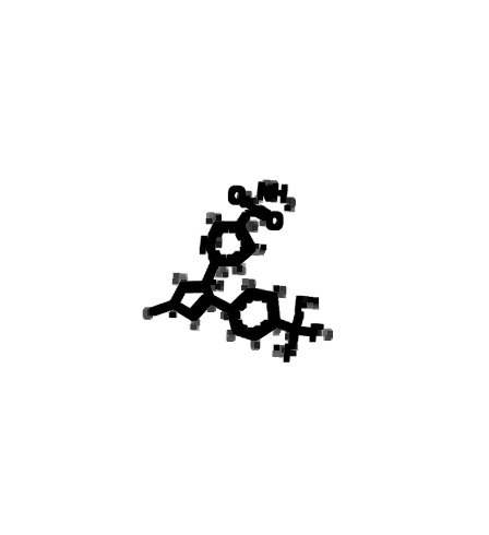 CC1C=C(c2ccc(C(F)(F)F)cc2)C(c2ccc(S(N)(=O)=O)cn2)=C1